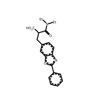 CCN(CC)C(=O)C(Cc1ccc2nc(-c3ccccc3)oc2c1)C(=O)O